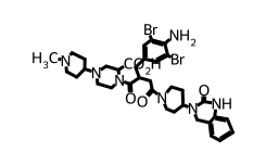 CN1CCC(N2CCN(C(=O)C(CC(=O)N3CCC(N4Cc5ccccc5NC4=O)CC3)Cc3cc(Br)c(N)c(Br)c3)C(C(=O)O)C2)CC1